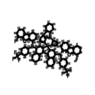 Fc1cccc2c1oc1c(N(c3ccc(C(F)(F)F)cc3)c3cc4c(c5ccccc35)-c3c(cc(N(c5ccc(C(F)(F)F)cc5)c5cccc6c5oc5c(F)cccc56)c5ccccc35)C43c4ccccc4-n4c5ccccc5c5cccc3c54)cccc12